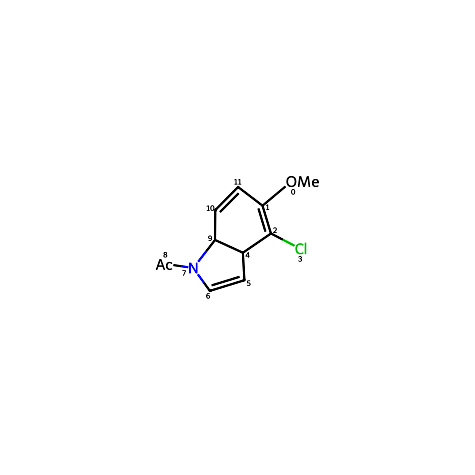 COC1=C(Cl)C2C=CN(C(C)=O)C2C=C1